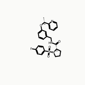 C[C@@H](Oc1cccc(CNC(=O)[C@@H]2CCCN2S(=O)(=O)c2ccc(F)cc2)c1)c1ccccn1